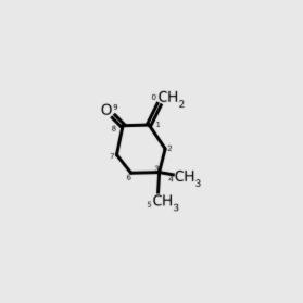 C=C1CC(C)(C)CCC1=O